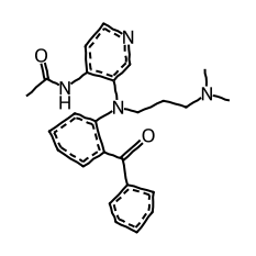 CC(=O)Nc1ccncc1N(CCCN(C)C)c1ccccc1C(=O)c1ccccc1